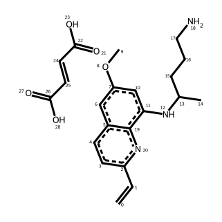 C=Cc1ccc2cc(OC)cc(NC(C)CCCN)c2n1.O=C(O)C=CC(=O)O